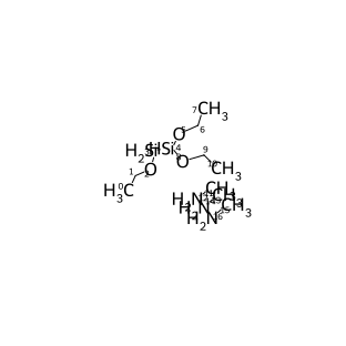 CCO[SiH2][SiH](OCC)OCC.CN.CN.CN